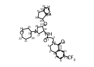 O=C(CN1CCc2ccc(C(F)(F)F)cc2C1=O)NC1CN(C2CCCOCC2)C[C@@H]1OC1CCc2ccsc21